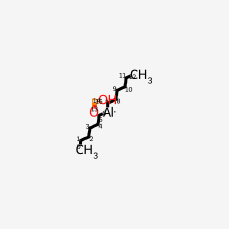 CCCCC[CH2][Al][CH2]CCCCC.O=PO